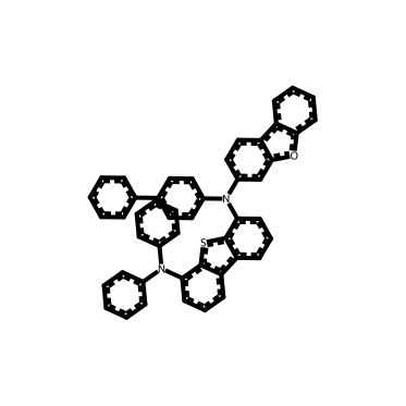 c1ccc(-c2ccc(N(c3ccc4c(c3)oc3ccccc34)c3cccc4c3sc3c(N(c5ccccc5)c5ccccc5)cccc34)cc2)cc1